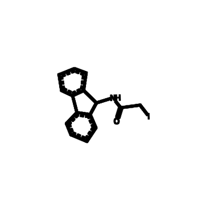 O=C(CI)NC1c2ccccc2-c2ccccc21